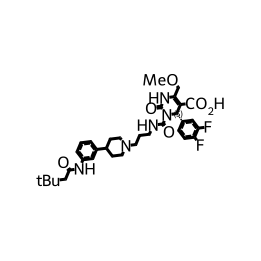 COCC1=C(C(=O)O)[C@H](c2ccc(F)c(F)c2)N(C(=O)NCCCN2CCC(c3cccc(NC(=O)CC(C)(C)C)c3)CC2)C(=O)N1